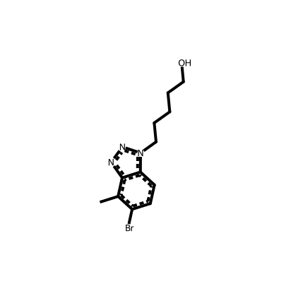 Cc1c(Br)ccc2c1nnn2CCCCCO